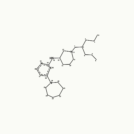 CCCC(CCC)CN1CCCC(Nc2nccc(N3CCCCCC3)n2)C1